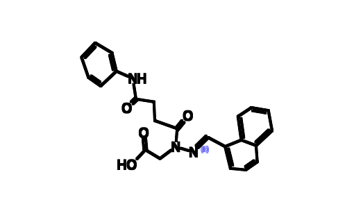 O=C(O)CN(/N=C/c1cccc2ccccc12)C(=O)CCC(=O)Nc1ccccc1